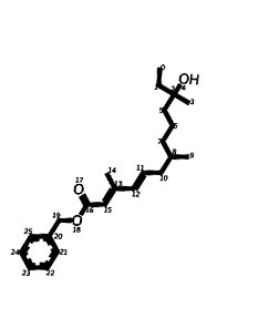 CCC(C)(O)CCCC(C)C/C=C/C(C)=C/C(=O)OCc1ccccc1